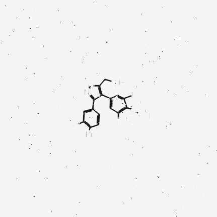 Cc1cc(-c2noc(CO)c2-c2cc(F)c(S(C)(=O)=O)c(F)c2)ccc1Br